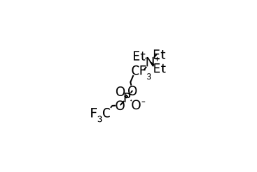 CC[N+](C)(CC)CC.O=P([O-])(OCC(F)(F)F)OCC(F)(F)F